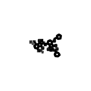 Nc1ccc(N)c2c1C(=O)C(N=Nc1ccc(OCc3ccccc3)c3c1C(=O)N(NC(=O)C1=CC=CCC1)C3=O)=C2O